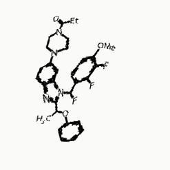 CCC(=O)N1CCN(c2ccc3nc(C(C)Oc4ccccc4)n(C(F)c4ccc(OC)c(F)c4F)c3c2)CC1